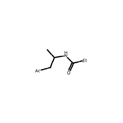 CCC(=O)NC(C)CC(C)=O